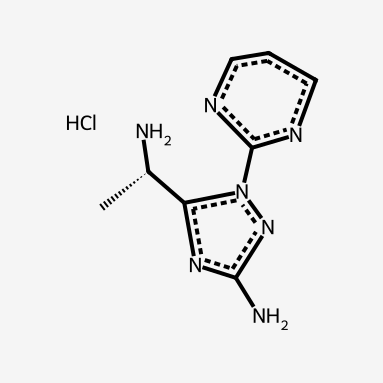 C[C@H](N)c1nc(N)nn1-c1ncccn1.Cl